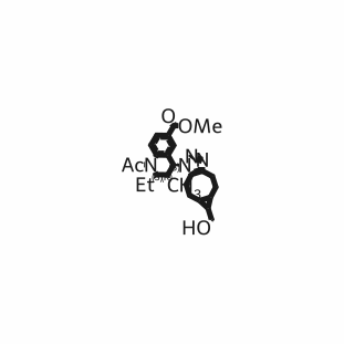 CC[C@H]1[C@@H](C)[C@H](n2nnc3c2CCC2C(CO)C2CC3)c2cc(C(=O)OC)ccc2N1C(C)=O